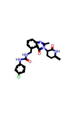 C=C1CCC(n2c(C)nc3cccc(CNC(=O)Nc4ccc(Cl)cc4)c3c2=O)C(=O)N1